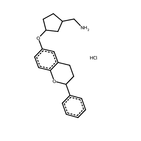 Cl.NCC1CCC(Oc2ccc3c(c2)CCC(c2ccccc2)O3)C1